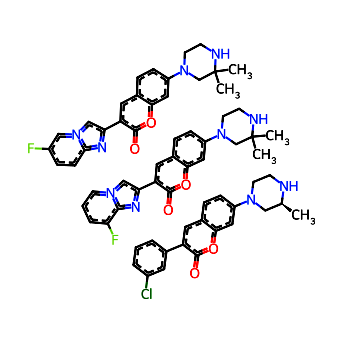 CC1(C)CN(c2ccc3cc(-c4cn5cc(F)ccc5n4)c(=O)oc3c2)CCN1.CC1(C)CN(c2ccc3cc(-c4cn5cccc(F)c5n4)c(=O)oc3c2)CCN1.C[C@H]1CN(c2ccc3cc(-c4cccc(Cl)c4)c(=O)oc3c2)CCN1